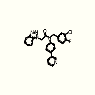 O=C(Cn1nnc2ccccc21)N(Cc1ccc(F)c(Cl)c1)c1ccc(-c2cccnc2)cc1